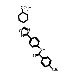 CC(C)(C)c1ccc(C(=O)Nc2ccc(-c3noc([C@H]4CC[C@H](C(=O)O)CC4)n3)cc2)cc1